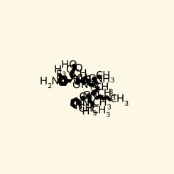 CCCCCCN(C(=O)[C@@H](NC(=O)[C@H]1CCCCN1C)[C@@H](C)CC)[C@H](C[C@@H](OC(=O)NC)c1nc(C(=O)N[C@@H](Cc2ccc(N)c(F)c2)CC(C)(C)C(=O)O)cs1)C(C)C